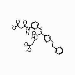 COC(=O)CCCC(O)C(Sc1cccc(NC(=O)CC(=O)OC)c1)c1ccc(CCc2ccccc2)cc1